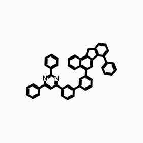 c1ccc(-c2cc(-c3cccc(-c4cccc(-c5cc6c(c7ccccc57)Cc5cccc(-c7ccccc7)c5-6)c4)c3)nc(-c3ccccc3)n2)cc1